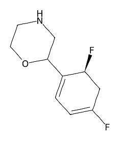 FC1=CC=C(C2CNCCO2)[C@@H](F)C1